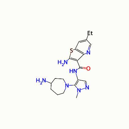 CCc1cnc2c(C(=O)Nc3cnn(C)c3N3CCCC(N)CC3)c(N)sc2c1